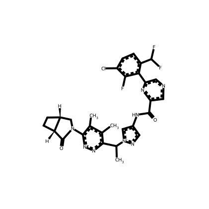 Cc1c(C(C)n2cc(NC(=O)c3cncc(-c4c(C(F)F)ccc(Cl)c4F)n3)cn2)nnc(N2C[C@H]3CC[C@H]3C2=O)c1C